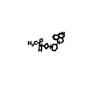 CC(=O)NC1CC(N2CCCC(N3CCc4cncc5cccc3c45)C2)C1